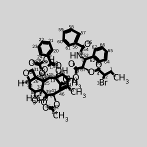 CCC(Br)C(=O)O[C@@H](C(=O)O[C@H]1C[C@@]2(O)[C@@H](OC(=O)c3ccccc3)[C@@H]3[C@]4(OC(C)=O)CO[C@@H]4C[C@H](O)[C@@]3(C)C(=O)[C@H](OC(C)=O)C(=C1C)C2(C)C)[C@@H](NC(=O)c1ccccc1)c1ccccc1